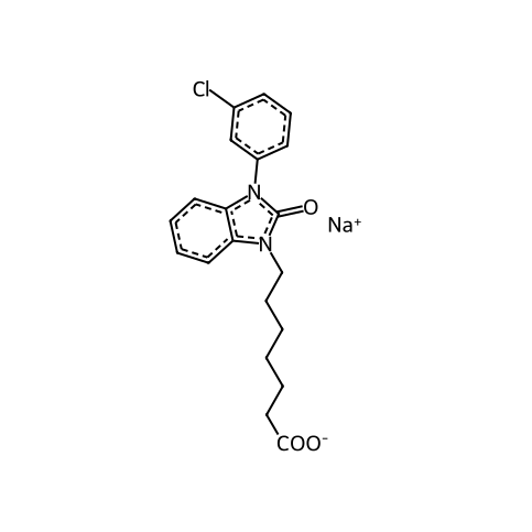 O=C([O-])CCCCCCn1c(=O)n(-c2cccc(Cl)c2)c2ccccc21.[Na+]